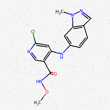 CONC(=O)c1cnc(Cl)cc1Nc1ccc2cnn(C)c2c1